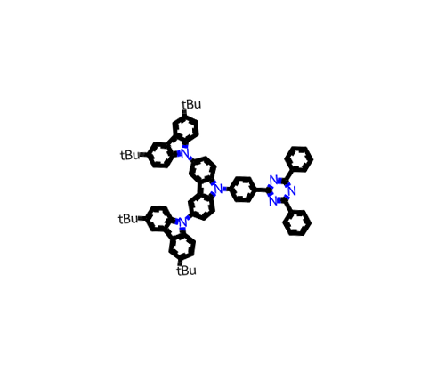 CC(C)(C)c1ccc2c(c1)c1cc(C(C)(C)C)ccc1n2-c1ccc2c(c1)c1cc(-n3c4ccc(C(C)(C)C)cc4c4cc(C(C)(C)C)ccc43)ccc1n2-c1ccc(-c2nc(-c3ccccc3)nc(-c3ccccc3)n2)cc1